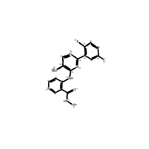 CCCNC(=O)c1cnccc1Nc1nc(-c2cc(Cl)ccc2F)ncc1C(C)(C)C